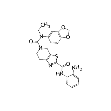 CCN(C(=O)N1CCc2nc(C(=O)Nc3ccccc3N)sc2C1)c1ccc2c(c1)OCO2